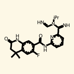 CC(C)N(C=N)C(=N)c1cccc(NC(=O)c2cc3c(cc2F)C(C)(C)CC(=O)N3)n1